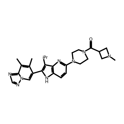 Cc1c(-c2[nH]c3ccc(N4CCN(C(=O)C5CN(C)C5)CC4)nc3c2C(C)C)cn2ncnc2c1C